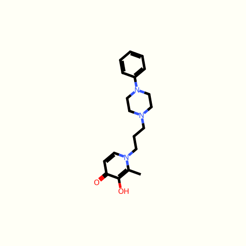 Cc1c(O)c(=O)ccn1CCCN1CCN(c2ccccc2)CC1